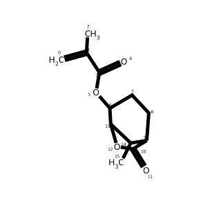 C=C(C)C(=O)OC1CCC2C(=O)OC1C2C